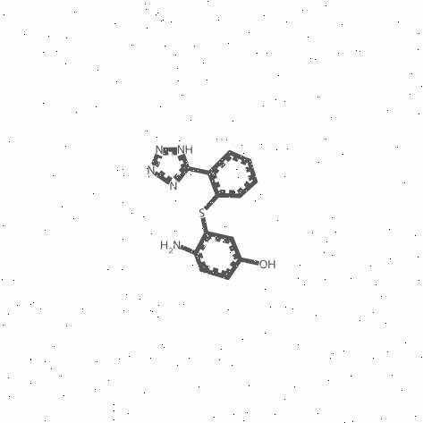 Nc1ccc(O)cc1Sc1ccccc1-c1nnn[nH]1